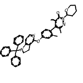 Cc1cc(Oc2nccc3c2CCN3C(c2ccccc2)(c2ccccc2)c2ccccc2)ccc1-c1c(C)nn(C2CCCCO2)c(=O)c1C